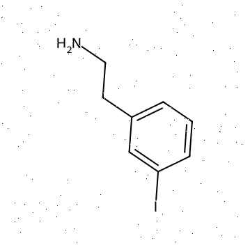 NCCc1cccc(I)c1